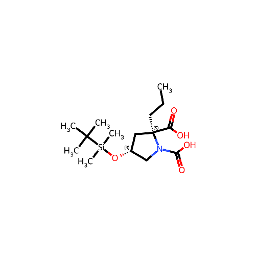 CCC[C@@]1(C(=O)O)C[C@@H](O[Si](C)(C)C(C)(C)C)CN1C(=O)O